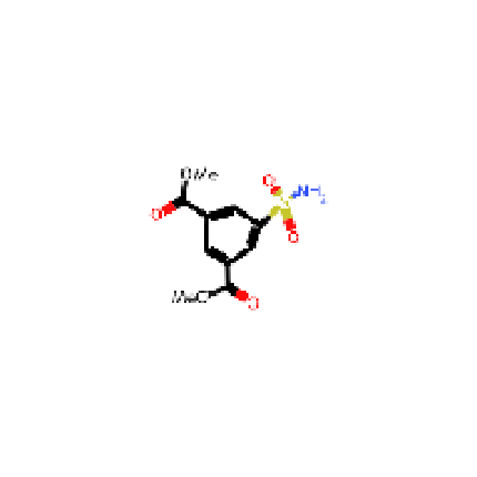 COC(=O)c1cc(C(=O)OC)cc(S(N)(=O)=O)c1